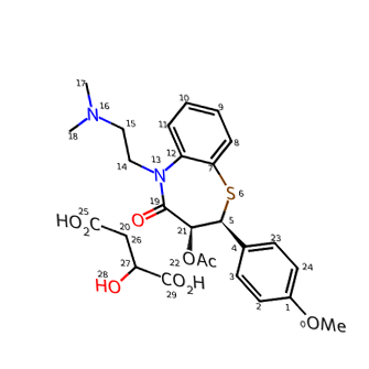 COc1ccc([C@@H]2Sc3ccccc3N(CCN(C)C)C(=O)[C@@H]2OC(C)=O)cc1.O=C(O)CC(O)C(=O)O